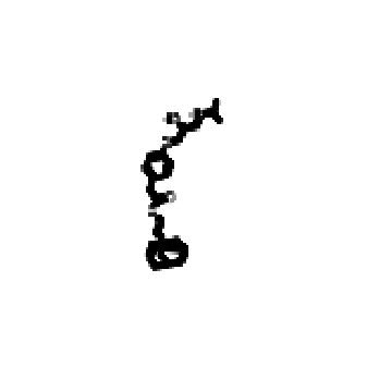 CC(C)NCC(O)COc1ccc(CC(=O)OCCC23CC4CC(CC(C4)C2)C3)cc1